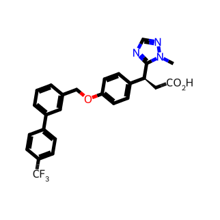 Cn1ncnc1[C@@H](CC(=O)O)c1ccc(OCc2cccc(-c3ccc(C(F)(F)F)cc3)c2)cc1